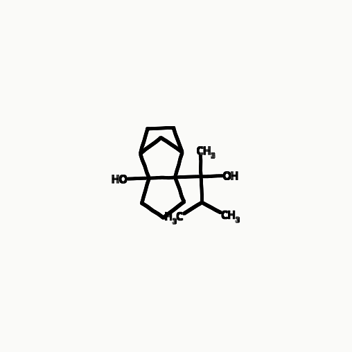 CC(C)C(C)(O)C12CCCC1(O)C1CCC2C1